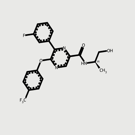 C[C@H](CO)NC(=O)c1cnc(Oc2ccc(C(F)(F)F)cc2)c(-c2cccc(F)c2)n1